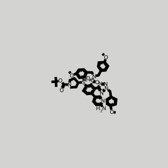 COc1ccc(CN(Cc2ccc(OC)cc2)S(=O)(=O)c2c([S+]([O-])C3CCN(C(=O)OC(C)(C)C)CC3)ccc(-c3ccc(N)nc3)c2-c2nnn(Cc3ccc(OC)cc3)n2)cc1